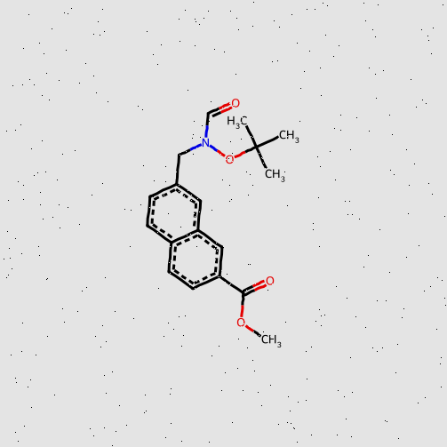 COC(=O)c1ccc2ccc(CN(C=O)OC(C)(C)C)cc2c1